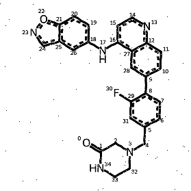 O=C1CN(Cc2ccc(-c3ccc4nccc(Nc5ccc6oncc6c5)c4c3)c(F)c2)CCN1